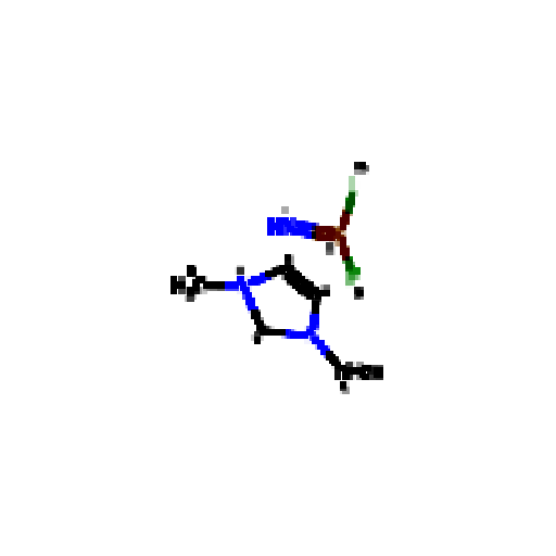 CCCCCCN1C=CN(C)C1.N=S(F)F